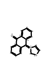 O=C1c2ccccc2C(=S2C=CSC2)c2ccccc21